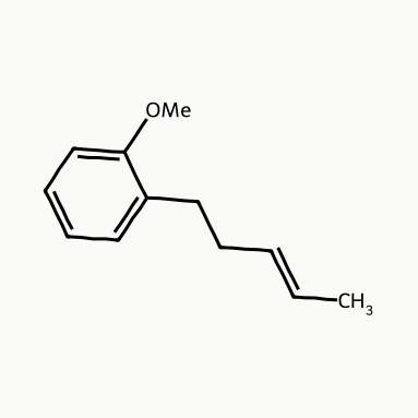 CC=CCCc1ccccc1OC